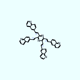 C(=C\c1nc(/C=C/c2ccc3ncccc3c2)c(/C=C/c2ccc3ncccc3c2)nc1/C=C/c1ccc2ncccc2c1)/c1ccc2ncccc2c1